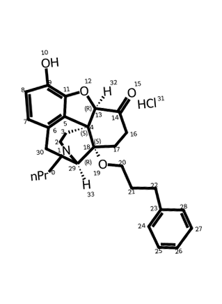 CCCN1CC[C@]23c4c5ccc(O)c4O[C@H]2C(=O)CC[C@@]3(OCCCc2ccccc2)[C@H]1C5.Cl